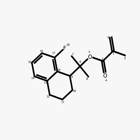 C=C(C)C(=O)OC(C)(C)C1CCCc2cccc(F)c21